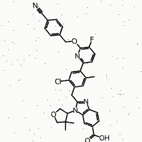 Cc1cc(Cc2nc3ccc(C(=O)O)cc3n2C2COCC2(C)C)c(Cl)cc1-c1ccc(F)c(OCc2ccc(C#N)cc2)n1